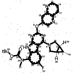 C[C@@H]1[C@H]2CN(c3nc(Oc4cnc5cccnc5c4)nc4[nH]c5c(N(C)C(=O)OC(C)(C)C)cc(F)cc5c34)C[C@@H]12